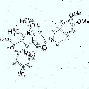 COC(=O)C1=C(C)N(C)C(CCN2CCc3cc(OC)c(OC)cc3C2)=C(C(=O)OC)C1c1ccc(C(F)(F)F)cc1.Cl